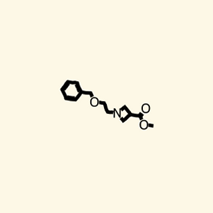 COC(=O)C1CN(CCOCc2ccccc2)C1